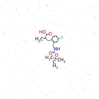 C=C(Cc1ccc(F)cc1CNC(=O)OC(C)(C)C)C(=O)O